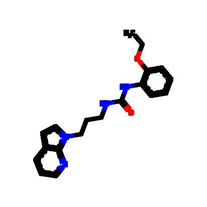 CCOc1ccccc1NC(=O)NCCCn1ccc2cccnc21